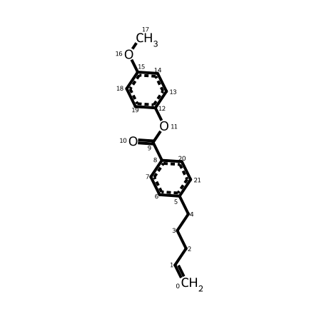 C=CCCCc1ccc(C(=O)Oc2ccc(OC)cc2)cc1